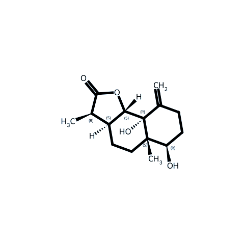 C=C1CC[C@@H](O)[C@]2(C)CC[C@H]3[C@@H](C)C(=O)O[C@@H]3[C@@]12O